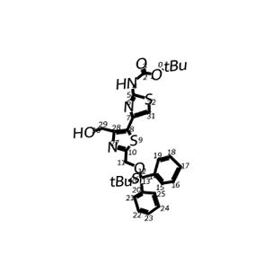 CC(C)(C)OC(=O)Nc1nc(-c2sc(CO[Si](c3ccccc3)(c3ccccc3)C(C)(C)C)nc2CO)cs1